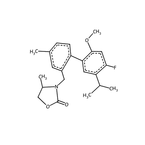 COc1cc(F)c(C(C)C)cc1-c1ccc(C)cc1CN1C(=O)OCC1C